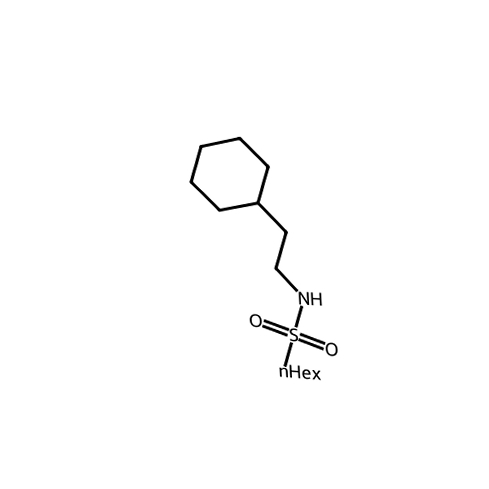 CCCCCCS(=O)(=O)NCCC1CCCCC1